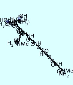 CN[C@@H](CCCCNC(=O)COCCOCCNC(=O)COCCOCCNC(=O)CCCC(=O)NCCCC[C@H](CC(=O)CCCC(=O)C(CNC(C)(C)/C(C)=N/O)CNC(C)(C)/C(C)=N/O)C(=O)NCCCC[C@H](NC)C(N)=O)C(N)=O